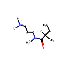 CCC(C)(C)C(=O)N(C)CCCN(C)C